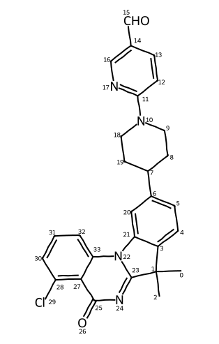 CC1(C)c2ccc(C3CCN(c4ccc(C=O)cn4)CC3)cc2-n2c1nc(=O)c1c(Cl)cccc12